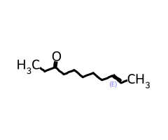 C/C=C/CCCCCC(=O)CC